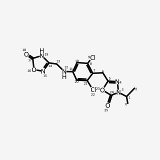 CC(C)n1nc(Cc2c(Cl)cc(NCc3noc(=O)[nH]3)cc2Cl)oc1=O